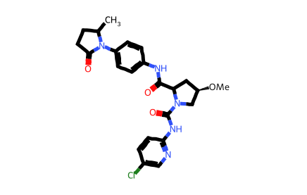 CO[C@@H]1CC(C(=O)Nc2ccc(N3C(=O)CCC3C)cc2)N(C(=O)Nc2ccc(Cl)cn2)C1